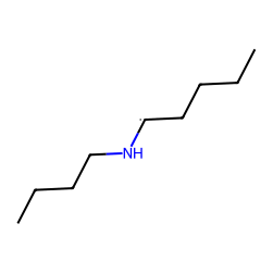 CCCC[CH]NCCCC